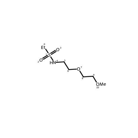 CCS(=O)(=O)NCCOCCOC